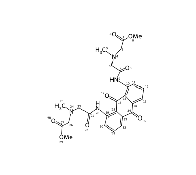 COC(=O)CN(C)CC(=O)Nc1cccc2c1C(=O)c1c(NC(=O)CN(C)CC(=O)OC)cccc1C2=O